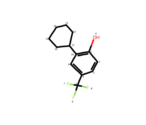 Oc1ccc(C(F)(F)F)cc1C1CCCCC1